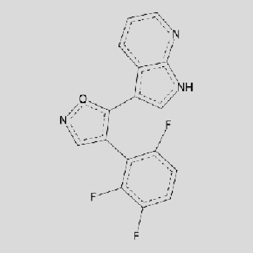 Fc1ccc(F)c(-c2cnoc2-c2c[nH]c3ncccc23)c1F